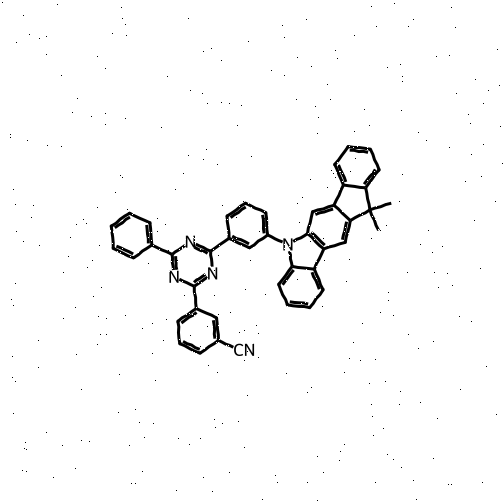 CC1(C)c2ccccc2-c2cc3c(cc21)c1ccccc1n3-c1cccc(-c2nc(-c3ccccc3)nc(-c3cccc(C#N)c3)n2)c1